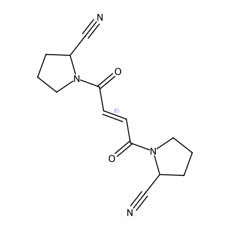 N#CC1CCCN1C(=O)/C=C/C(=O)N1CCCC1C#N